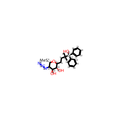 CS[C@@H]1OC(CCC(C)(C)[Si](O)(c2ccccc2)c2ccccc2)[C@@H](O)C(O)C1N=[N+]=[N-]